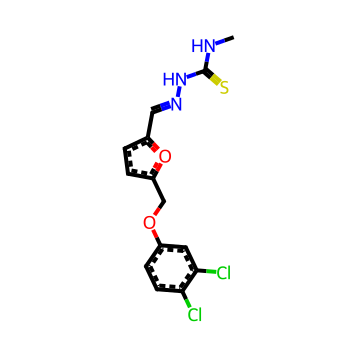 CNC(=S)NN=Cc1ccc(COc2ccc(Cl)c(Cl)c2)o1